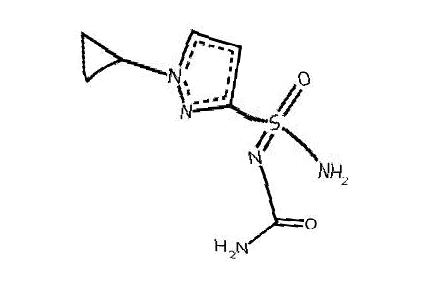 NC(=O)N=S(N)(=O)c1ccn(C2CC2)n1